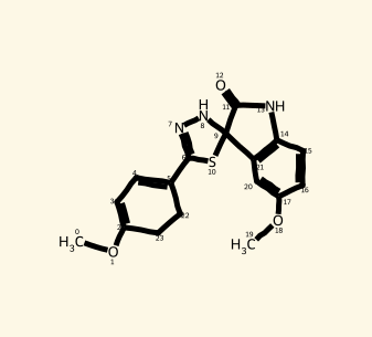 COC1=CC=C(C2=NNC3(S2)C(=O)Nc2ccc(OC)cc23)CC1